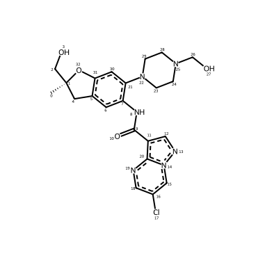 C[C@@]1(CO)Cc2cc(NC(=O)c3cnn4cc(Cl)cnc34)c(N3CCN(CO)CC3)cc2O1